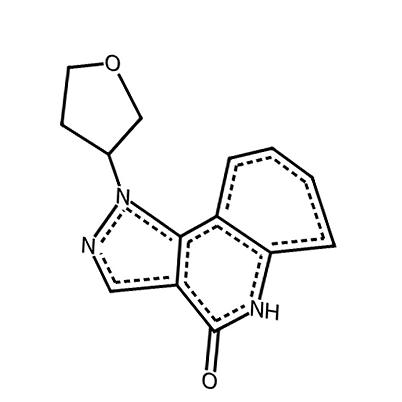 O=c1[nH]c2ccccc2c2c1cnn2C1CCOC1